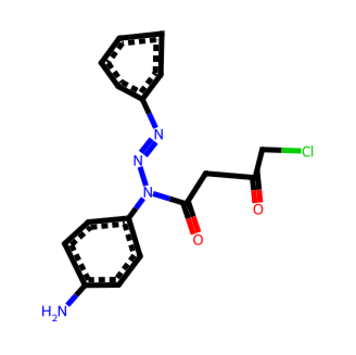 Nc1ccc(N(N=Nc2ccccc2)C(=O)CC(=O)CCl)cc1